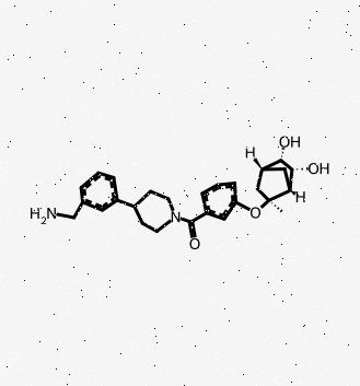 C[C@]1(Oc2cccc(C(=O)N3CCC(c4cccc(CN)c4)CC3)c2)C[C@H]2C[C@@H]1[C@@H](O)[C@H]2O